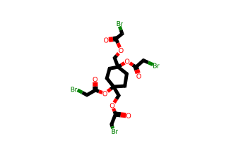 O=C(CBr)OCC1(OC(=O)CBr)CCC(COC(=O)CBr)(OC(=O)CBr)CC1